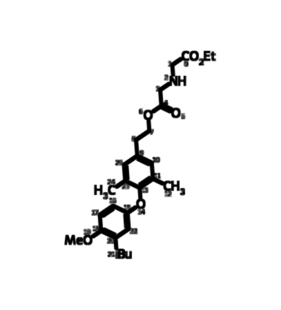 CCOC(=O)CNCC(=O)OCCc1cc(C)c(Oc2ccc(OC)c(C(C)CC)c2)c(C)c1